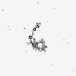 CC[C@H]1OC(=O)[C@H](C)C(=O)[C@@H](C)[C@@H](O[C@@H]2O[C@H](C)C[C@H](N(C)CCc3cn(CCCOc4ccc(-c5nnc(N)s5)cc4)nn3)[C@H]2O)[C@](C)(OC)C[C@@H](C)C2=NCCN3C(=O)O[C@@]1(C)[C@@H]3[C@H]2C